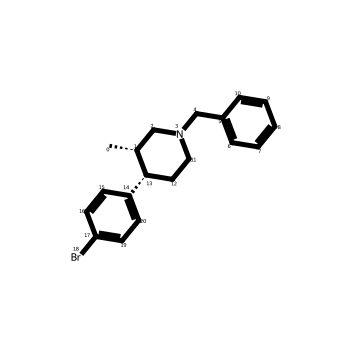 C[C@@H]1CN(Cc2ccccc2)CC[C@@H]1c1ccc(Br)cc1